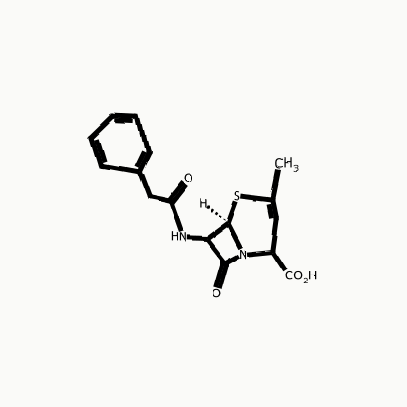 CC1=CC(C(=O)O)N2C(=O)C(NC(=O)Cc3ccccc3)[C@H]2S1